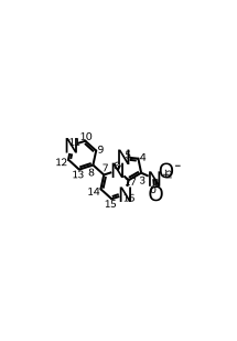 O=[N+]([O-])c1cnn2c(-c3ccncc3)ccnc12